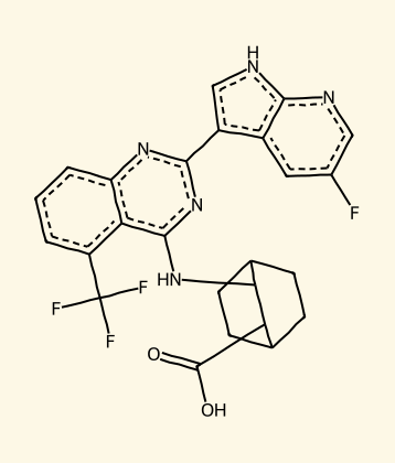 O=C(O)C1C2CCC(CC2)C1Nc1nc(-c2c[nH]c3ncc(F)cc23)nc2cccc(C(F)(F)F)c12